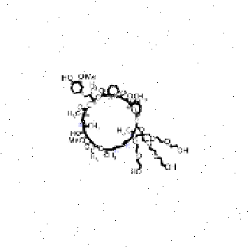 CO[C@@H]1C[C@H](C[C@@H](C)[C@@H]2CC(=O)[C@H](C)/C=C(\C)[C@@H](O)[C@@H](OC)C(=O)[C@H](C)C[C@H](C)/C=C/C=C/C=C(\C)C(OC(COCCOCCO)(COCCOCCO)COCCOCCO)C[C@@H]3CC[C@@H](C)[C@@](O)(O3)C(=O)C(=O)N3CCCC[C@H]3C(=O)O2)CC[C@H]1O